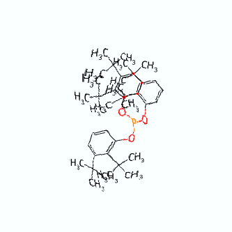 CC(C)(C)c1cccc(OP(Oc2cccc(C(C)(C)C)c2C(C)(C)C)Oc2cccc(C(C)(C)C)c2C(C)(C)C)c1C(C)(C)C